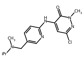 CC(C)N(C)Cc1ccc(Nc2cc(Cl)nn(C)c2=O)nc1